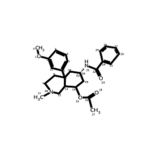 COc1cccc(C23CCN(C)CC2C(OC(C)=O)C[C@@H](NC(=O)c2ccccc2)C3)c1